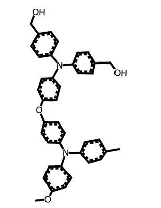 COc1ccc(N(c2ccc(C)cc2)c2ccc(Oc3ccc(N(c4ccc(CO)cc4)c4ccc(CO)cc4)cc3)cc2)cc1